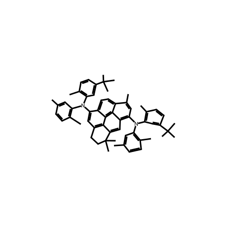 Cc1ccc(C)c(N(c2cc(C(C)(C)C)ccc2C)c2cc(C)c3ccc4c(N(c5cc(C)ccc5C)c5cc(C(C)(C)C)ccc5C)cc5c6c(cc2c3c46)C(C)(C)CC5)c1